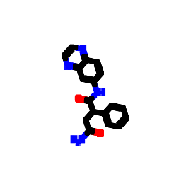 NC(=O)CC(C(=O)Nc1ccc2nccnc2c1)c1ccccc1